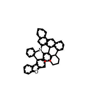 c1ccc(N(c2ccc3ccccc3c2)c2ccccc2-c2cccc3oc4ccccc4c23)c(-c2cccc3cccc(C4CCCCC4)c23)c1